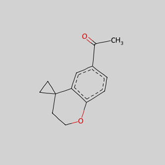 CC(=O)c1ccc2c(c1)C1(CCO2)CC1